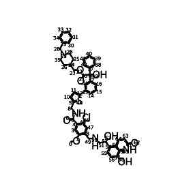 COc1cc(C(=O)NCc2ccc(-c3cccc(C(O)(C(=O)OCC4CCN(Cc5ccccc5)CC4)c4ccccc4)c3)s2)c(Cl)cc1CNC[C@H](O)c1ccc(O)c2[nH]c(=O)ccc12